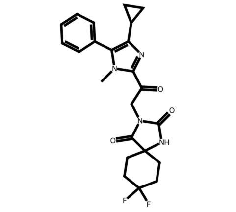 Cn1c(C(=O)CN2C(=O)NC3(CCC(F)(F)CC3)C2=O)nc(C2CC2)c1-c1ccccc1